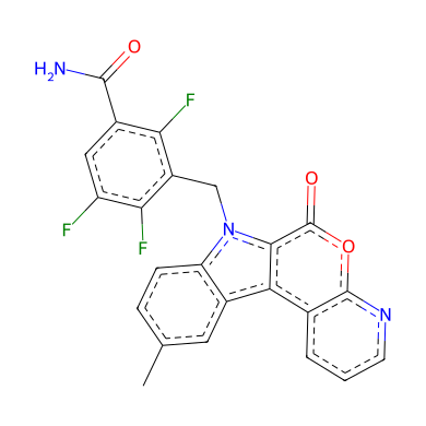 Cc1ccc2c(c1)c1c3cccnc3oc(=O)c1n2Cc1c(F)c(F)cc(C(N)=O)c1F